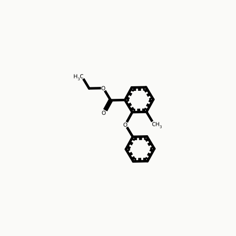 CCOC(=O)c1cccc(C)c1Oc1ccccc1